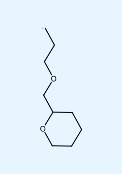 [CH2]CCOCC1CCCCO1